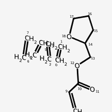 C=C.C=C.C=C.C=C.C=CC(=O)OCC1CCCO1